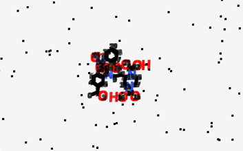 CC(=O)c1cccc(N(CC[C@@H]2CN(C(=O)O)CCN2C(=O)O)S(=O)(=O)c2ccccc2[N+](=O)[O-])c1